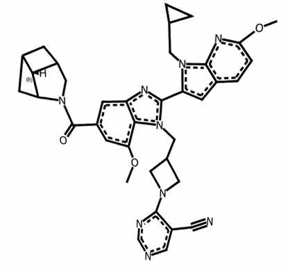 COc1ccc2cc(-c3nc4cc(C(=O)N5CC6CC7CC5[C@H]76)cc(OC)c4n3CC3CN(c4ncncc4C#N)C3)n(CC3CC3)c2n1